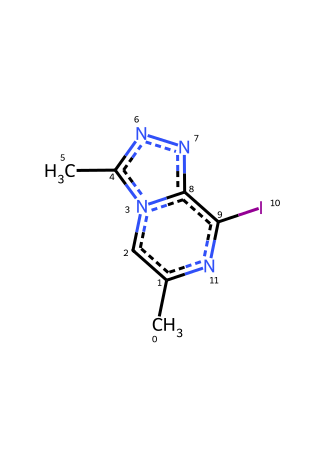 Cc1cn2c(C)nnc2c(I)n1